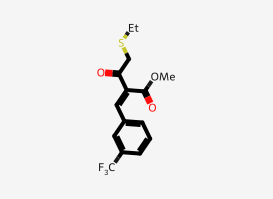 CCSCC(=O)C(=Cc1cccc(C(F)(F)F)c1)C(=O)OC